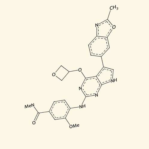 CNC(=O)c1ccc(Nc2nc(OC3COC3)c3c(-c4ccc5nc(C)oc5c4)c[nH]c3n2)c(OC)c1